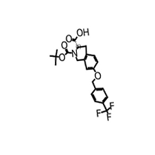 CC(C)(C)OC(=O)N1Cc2cc(OCc3ccc(C(F)(F)F)cc3)ccc2C[C@H]1C(=O)O